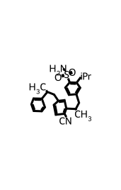 CC(C)c1cc(CC(C)c2cc(CC(C)c3ccccc3)ccc2C#N)ccc1S(N)(=O)=O